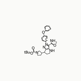 CC(C)(C)OC(=O)N1CCC(C2CCNc3c2nn(-c2ccc(Oc4ccccc4)cc2)c3C(N)=O)C1